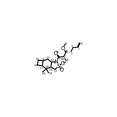 C=CCC[C@@H](OC)[C@@H](C)C(=O)N1C2CC3CCC3C(C)(C)C2CS1(=O)=O